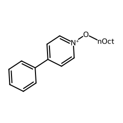 CCCCCCCCO[n+]1ccc(-c2ccccc2)cc1